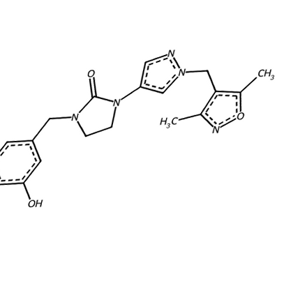 Cc1noc(C)c1Cn1cc(N2CCN(Cc3cccc(O)c3)C2=O)cn1